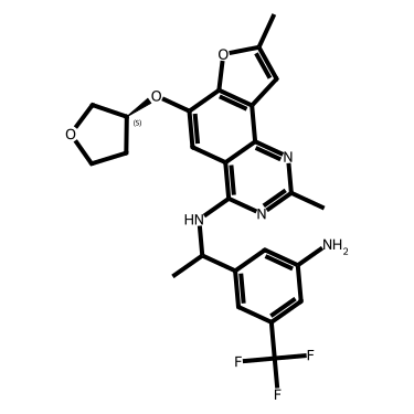 Cc1nc(NC(C)c2cc(N)cc(C(F)(F)F)c2)c2cc(O[C@H]3CCOC3)c3oc(C)cc3c2n1